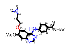 COc1cc2ncnc(Nc3ccc([C@H](C)NC(C)=O)cc3)c2cc1OCCCN(C)C